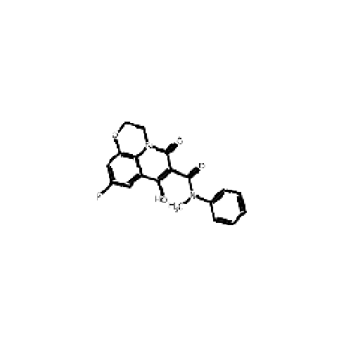 CN(C(=O)c1c(O)c2cc(F)cc3c2n(c1=O)CCO3)c1ccccc1